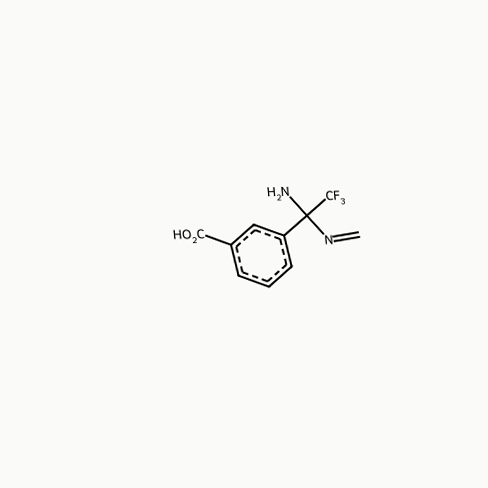 C=NC(N)(c1cccc(C(=O)O)c1)C(F)(F)F